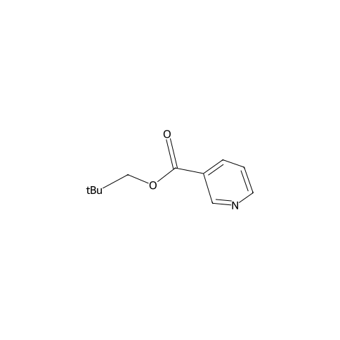 CC(C)(C)COC(=O)c1cccnc1